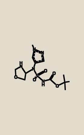 Cn1cc(N(C2COCN2)S(=O)(=O)NC(=O)OC(C)(C)C)cn1